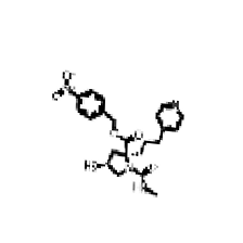 CNC(=O)N1C[C@@H](S)C[C@@]1(CCCc1ccncc1)C(=O)OCc1ccc([N+](=O)[O-])cc1